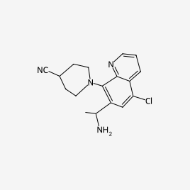 CC(N)c1cc(Cl)c2cccnc2c1N1CCC(C#N)CC1